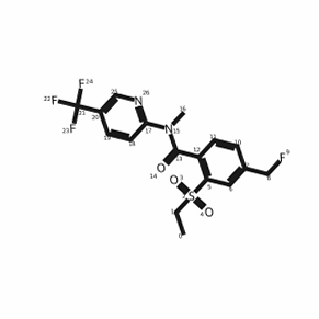 CCS(=O)(=O)c1cc(CF)ccc1C(=O)N(C)c1ccc(C(F)(F)F)cn1